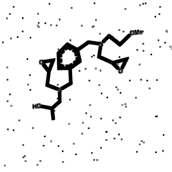 COCCN(Cc1cccc(CN(CC(C)O)CC2CO2)c1)CC1CO1